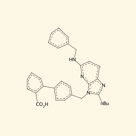 CCCCc1nc2ccc(NCc3ccccc3)nc2n1Cc1ccc(-c2ccccc2C(=O)O)cc1